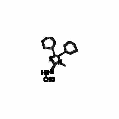 Cn1c(-c2ccccc2)c(-c2ccccc2)sc1=NNC=O